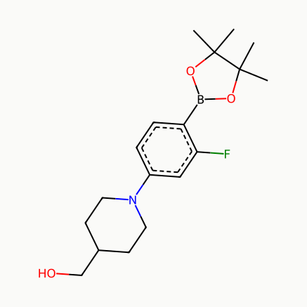 CC1(C)OB(c2ccc(N3CCC(CO)CC3)cc2F)OC1(C)C